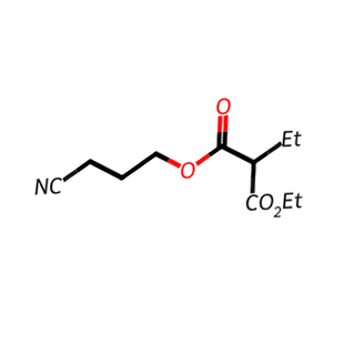 CCOC(=O)C(CC)C(=O)OCCCC#N